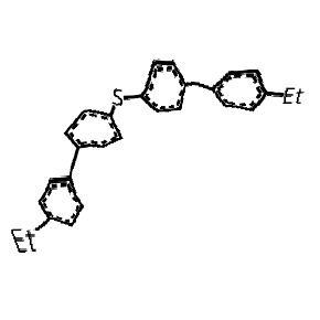 CCc1ccc(-c2ccc(Sc3ccc(-c4ccc(CC)cc4)cc3)cc2)cc1